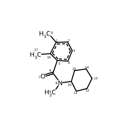 Cc1cccc(C(=O)N(C)C2CCCCC2)c1C